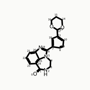 O=C1NCCn2c(-c3cccc(C4OCCCO4)c3)nc3cccc1c32